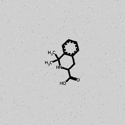 CC1(C)NC(C(=O)O)Cc2ccccc21